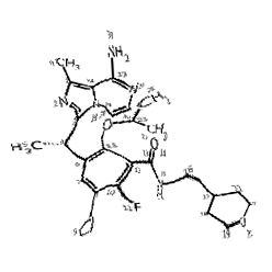 Cc1nc([C@@H](C)c2cc(Cl)c(F)c(C(=O)NCC3CCOCC3)c2OC(C)C)n2ccnc(N)c12